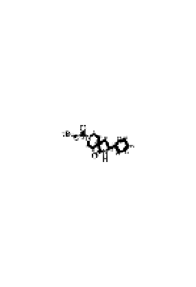 CC(C)(C)OC(=O)N1CCC2(CC1)CC(c1ccccc1)NC2=O